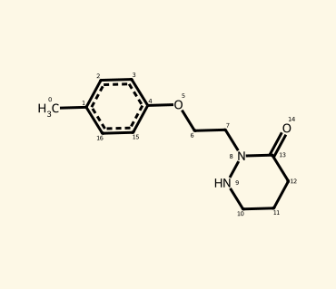 Cc1ccc(OCCN2NCCCC2=O)cc1